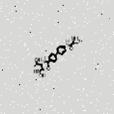 C[C@H](N)C(=O)Nc1ccc(-c2ccc(C(=O)N[C@H](C(=O)NO)[C@@H](C)O)cc2)cc1